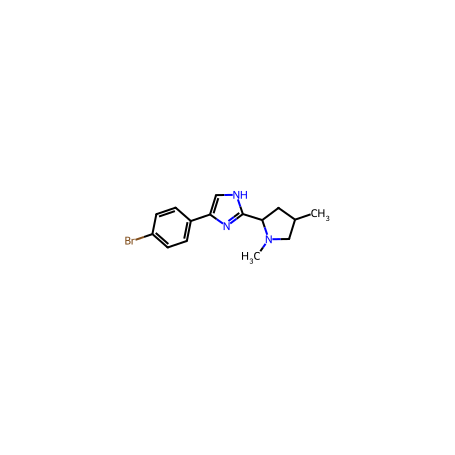 CC1CC(c2nc(-c3ccc(Br)cc3)c[nH]2)N(C)C1